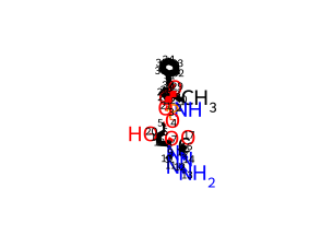 C[C@H](N[P@@](OC[C@H]1O[C@@H](N2C=NC(N)=NC2=C=O)C[C@@H]1O)OC12CC(C1)C2)C(=O)OCc1ccccc1